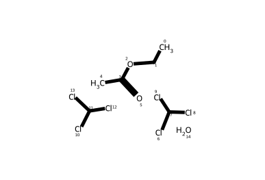 CCOC(C)=O.ClC(Cl)Cl.ClC(Cl)Cl.O